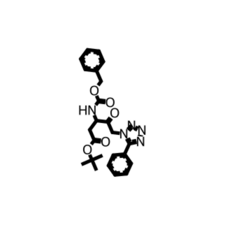 CC(C)(C)OC(=O)CC(NC(=O)OCc1ccccc1)C(=O)Cn1nnnc1-c1ccccc1